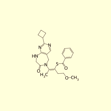 COCC/C(SC(=O)c1ccccc1)=C(\C)N1Cc2cnc(C3CCC3)nc2NCC1=O